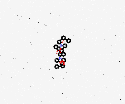 c1ccc(-c2ccccc2N(c2cc3c(oc4cc(N(c5ccccc5-c5ccccc5)c5cccc6c5oc5c(-c7ccccc7)cccc56)c5ccccc5c43)c3ccccc23)c2cccc3c2oc2c(-c4ccccc4)cccc23)cc1